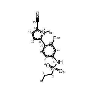 CCCS(=O)(=O)Nc1ccc(-c2ccc(C#N)n2C)c(F)c1